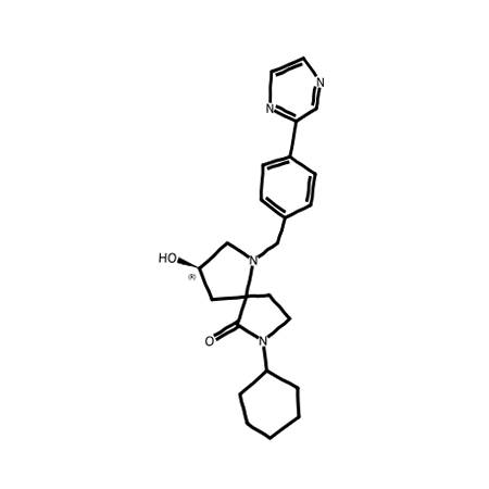 O=C1N(C2CCCCC2)CCC12C[C@@H](O)CN2Cc1ccc(-c2cnccn2)cc1